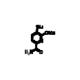 COc1nc(C(N)=O)ccc1C(C)(C)C